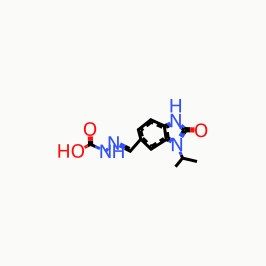 CC(C)n1c(=O)[nH]c2ccc(/C=N/NC(=O)O)cc21